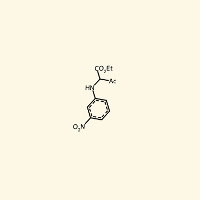 CCOC(=O)C(Nc1cccc([N+](=O)[O-])c1)C(C)=O